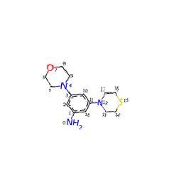 Nc1cc(N2CCOCC2)cc(N2CCSCC2)c1